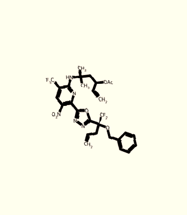 C=CC[C@@](OCc1ccccc1)(c1nnc(-c2nc(NC(C)(C)CC(C=C)OC(C)=O)c(C(F)(F)F)cc2[N+](=O)[O-])o1)C(F)(F)F